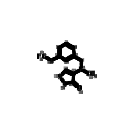 CN(Cc1cccc(SC(F)(F)F)c1)c1cssc1=O